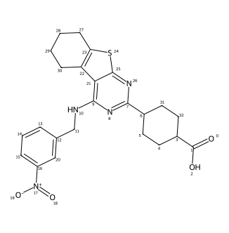 O=C(O)C1CCC(c2nc(NCc3cccc([N+](=O)[O-])c3)c3c4c(sc3n2)CCCC4)CC1